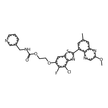 COc1cnc2c(-c3nc4c(Cl)c(F)c(OCCOC(=O)NCc5cccnc5)cc4s3)cc(C)cc2n1